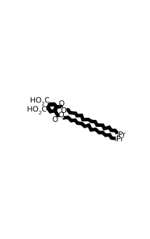 CC(C)CCCCCCCCCCCCCCCOC(=O)c1cc(C(=O)O)c(C(=O)O)cc1C(=O)OCCCCCCCCCCCCCCCC(C)C